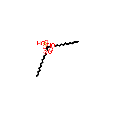 CCCCCCCCCCCCOC(=O)/C=C\C(=O)OCCCCCCCCCCCC.O=S(=O)(O)O